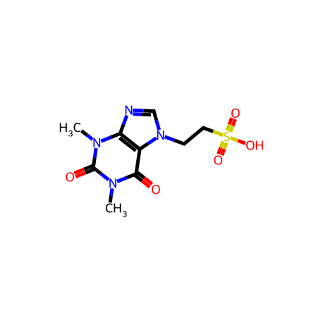 Cn1c(=O)c2c(ncn2CCS(=O)(=O)O)n(C)c1=O